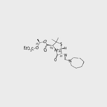 CCOC(=O)O[C@@H](C)OC(=O)[C@@H]1N2C(=O)[C@@H](N=CN3CCCCCC3)[C@H]2SC1(C)C